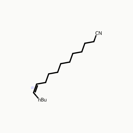 CCCC/C=C\CCCCCCCCCC#N